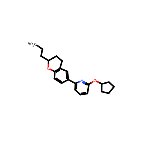 O=C(O)CCC1CCc2cc(-c3cccc(OC4CCCC4)n3)ccc2O1